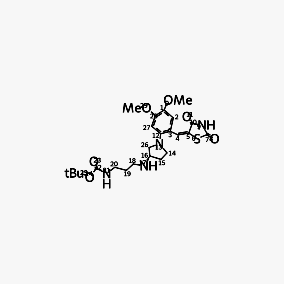 COc1cc(C=C2SC(=O)NC2=O)c(N2CC[C@@H](NCCCNC(=O)OC(C)(C)C)C2)cc1OC